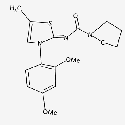 COc1ccc(-n2cc(C)s/c2=N\C(=O)N2CCCC2)c(OC)c1